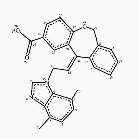 Cc1ccc(C)c2c1ncn2CC=C1c2ccccc2COc2ccc(C(=O)O)cc21